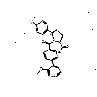 COc1ccccc1-c1ccc(C(=O)N2[C@@H](c3ccc(Cl)cc3)CC[C@H]2C(=O)O)cc1